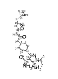 CC(C)n1nc(-c2ccc(CC(=O)Nc3cc(CC45CC(C4)C5)no3)cc2)c(C(N)=O)c1N